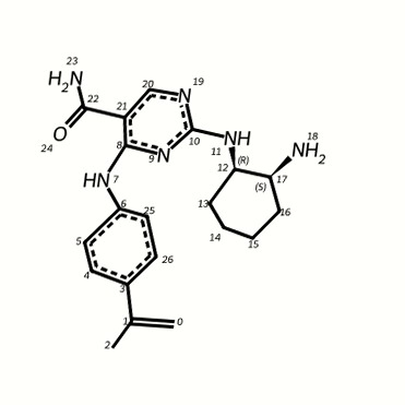 C=C(C)c1ccc(Nc2nc(N[C@@H]3CCCC[C@@H]3N)ncc2C(N)=O)cc1